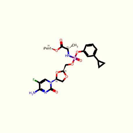 CCC[C@H](C)OC(=O)[C@H](C)NP(=O)(OC[C@H]1OC[C@@H](n2cc(F)c(N)nc2=O)O1)Oc1cccc(C2CC2)c1